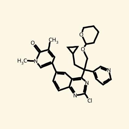 Cc1cc(-c2ccc3nc(Cl)nc(C(COC4CCCCO4)(CC4CC4)c4cccnc4)c3c2)cn(C)c1=O